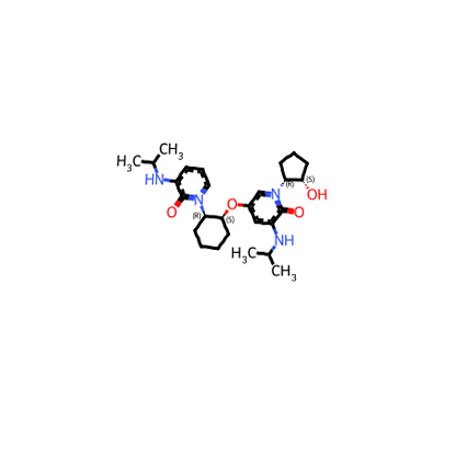 CC(C)Nc1cccn([C@@H]2CCCC[C@@H]2Oc2cc(NC(C)C)c(=O)n([C@@H]3CCC[C@@H]3O)c2)c1=O